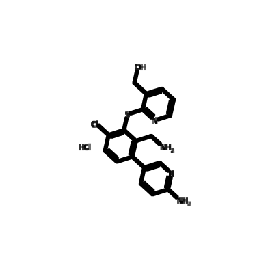 Cl.NCc1c(-c2ccc(N)nc2)ccc(Cl)c1Sc1ncccc1CO